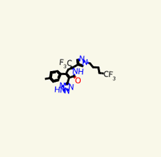 Cc1ccc(C2=C(c3nn[nH]n3)C(=O)NC(c3cnn(CCCCC(F)(F)F)c3)(C(F)(F)F)C2)cc1